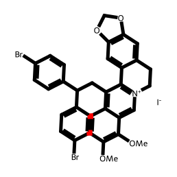 COc1ccc2c(CC(c3ccc(Br)cc3)c3ccc(Br)cc3)c3[n+](cc2c1OC)CCc1cc2c(cc1-3)OCO2.[I-]